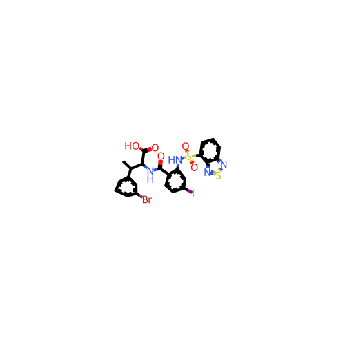 CC(c1cccc(Br)c1)C(NC(=O)c1ccc(I)cc1NS(=O)(=O)c1cccc2nsnc12)C(=O)O